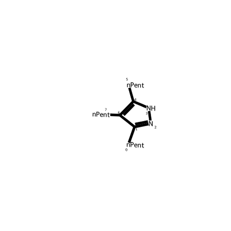 CCCCCc1n[nH]c(CCCCC)c1CCCCC